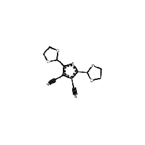 N#Cc1c(C2OCCO2)sc(C2OCCO2)c1C#N